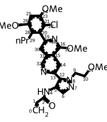 C=CC(=O)Nc1cnn(CCOC)c1-c1cc2c(OC)nc(-c3c(Cl)c(OC)cc(OC)c3CCC)cc2cn1